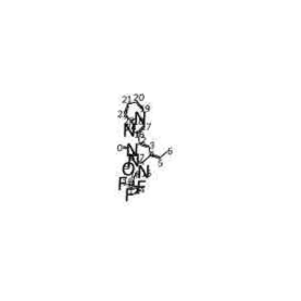 C=N/C(=C\C(=C/C)c1noc(C(F)(F)F)n1)c1cn2ccccc2n1